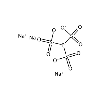 O=S(=O)([O-])P(S(=O)(=O)[O-])S(=O)(=O)[O-].[Na+].[Na+].[Na+]